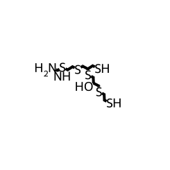 N=C(N)SCCSCC(CS)SCC(O)CSCCS